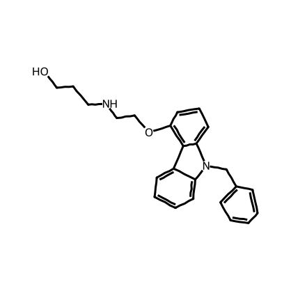 OCCCNCCOc1cccc2c1c1ccccc1n2Cc1ccccc1